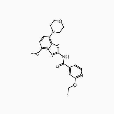 CCOc1cc(C(=O)Nc2nc3c(OC)ccc(N4CCOCC4)c3s2)ccn1